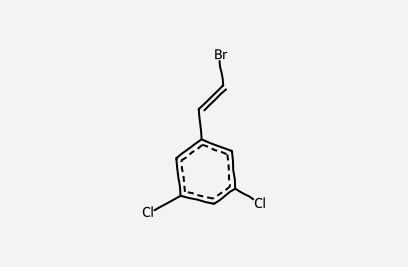 Clc1cc(Cl)cc(C=CBr)c1